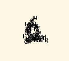 CCn1c(-c2cc(N3CCN4CCOC[C@@H]4C3)cnc2[C@H](C)OC)c2c3cc(ccc31)-c1csc(n1)C[C@H](NC(=O)[C@@H]1CC1C#N)C(=O)N1CCC[C@H](N1)C(=O)OCC(C)(C)C2